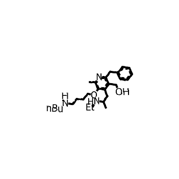 CCCCNCCCCOc1c(C)nc(Cc2ccccc2)c(CO)c1CC(C)NCC